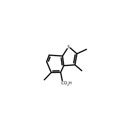 Cc1ccc2sc(C)c(C)c2c1C(=O)O